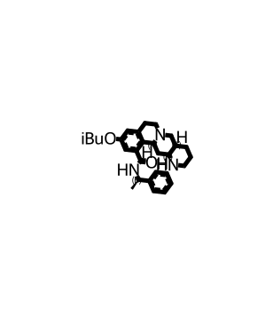 CC(C)COc1cc2c(c(C(=O)N[C@H](C)c3ccccc3)c1)[C@H]1C[C@H]3NCCC[C@H]3CN1CC2